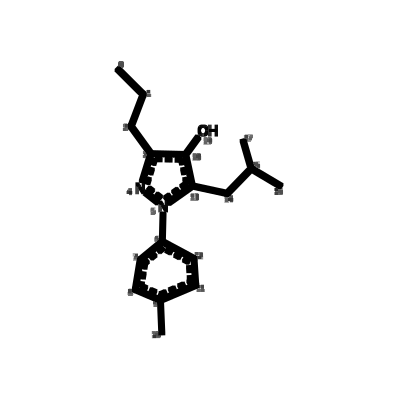 CCCc1nn(-c2ccc(C)cc2)c(CC(C)C)c1O